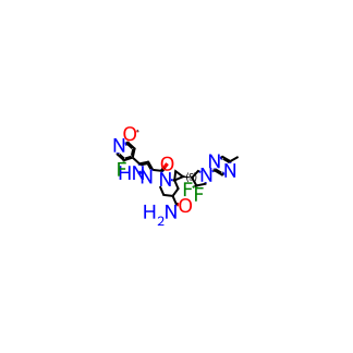 COc1cc(-c2cc(C(=O)N3CCC(C(N)=O)CC34CC4[C@H]3CN(c4cnc(C)cn4)CC3(F)F)n[nH]2)c(F)cn1